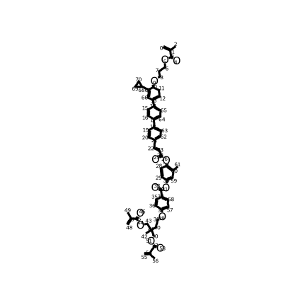 C=C(C)C(=O)OCCCOC1CC=C(c2ccc(-c3ccc(/C=C/C(=O)Oc4ccc(OC(=O)c5ccc(OCCC(C)(COC(=O)C(=C)C)COC(=O)C(=C)C)cc5)cc4C)cc3)cc2)C=C1C1CC1